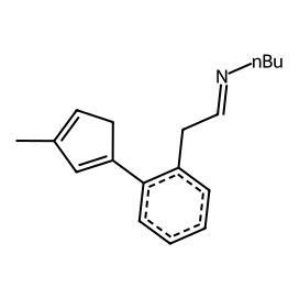 CCCCN=CCc1ccccc1C1=CC(C)=CC1